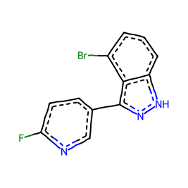 Fc1ccc(-c2n[nH]c3cccc(Br)c23)cn1